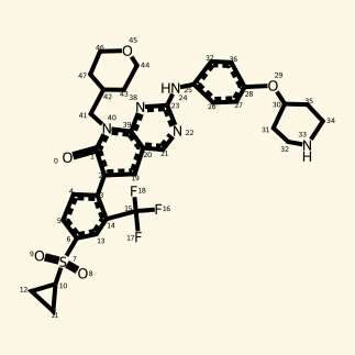 O=c1c(-c2ccc(S(=O)(=O)C3CC3)cc2C(F)(F)F)cc2cnc(Nc3ccc(OC4CCNCC4)cc3)nc2n1CC1CCOCC1